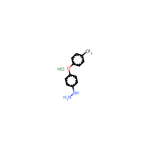 Cl.NNc1ccc(Oc2ccc(C(F)(F)F)cc2)cc1